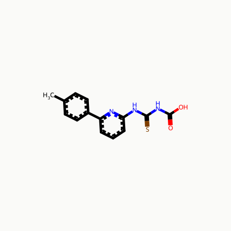 Cc1ccc(-c2cccc(NC(=S)NC(=O)O)n2)cc1